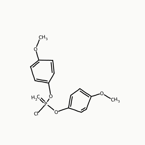 C=P(Cl)(Oc1ccc(OC)cc1)Oc1ccc(OC)cc1